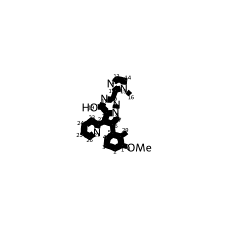 COc1cccc(-c2cn3nc(-c4nccn4C)nc(O)c3c2-c2ccccn2)c1C